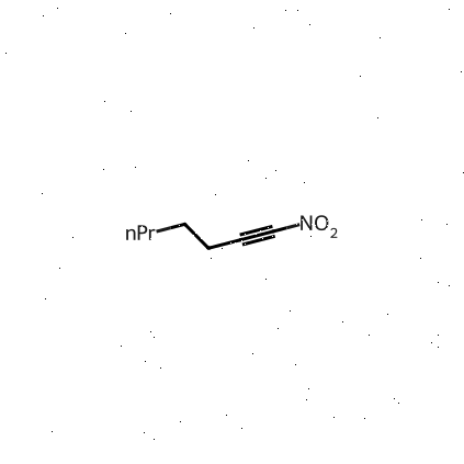 CCCCCC#C[N+](=O)[O-]